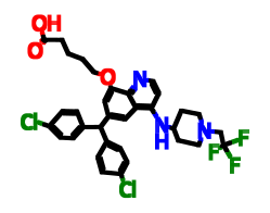 O=C(O)CCCCOc1cc(C(c2ccc(Cl)cc2)c2ccc(Cl)cc2)cc2c(NC3CCN(CC(F)(F)F)CC3)ccnc12